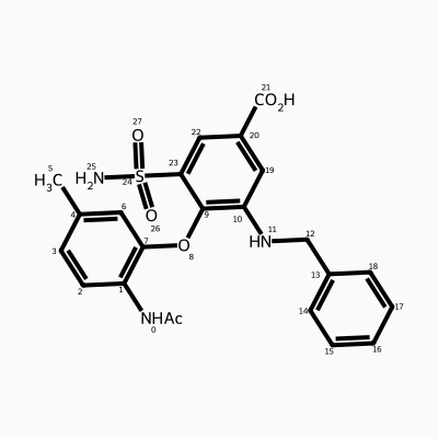 CC(=O)Nc1ccc(C)cc1Oc1c(NCc2ccccc2)cc(C(=O)O)cc1S(N)(=O)=O